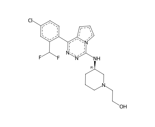 OCCN1CCC[C@@H](Nc2nnc(-c3ccc(Cl)cc3C(F)F)c3cccn23)C1